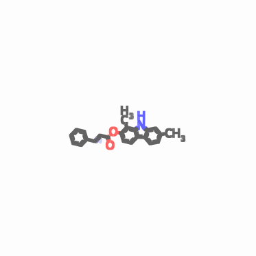 Cc1ccc2c(c1)[nH]c1c(C)c(OC(=O)/C=C/c3ccccc3)ccc12